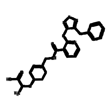 CC(OC1CC=C(CNC(=O)c2cccnc2Oc2nsnc2Cc2ccccc2)CC1)C(=O)O